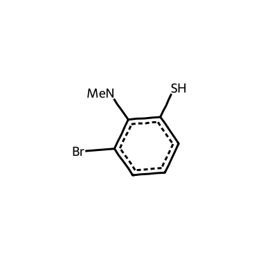 CNc1c(S)cccc1Br